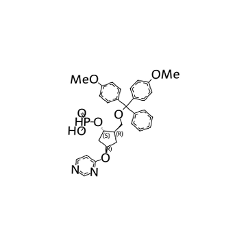 COc1ccc(C(OC[C@H]2C[C@@H](Oc3ccncn3)C[C@@H]2O[PH](=O)O)(c2ccccc2)c2ccc(OC)cc2)cc1